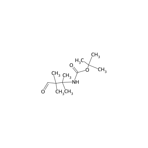 CC(C)(C)OC(=O)NC(C)(C)C(C)(C)C=O